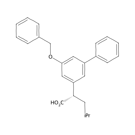 CC(C)C[C@H](C(=O)O)c1cc(OCc2ccccc2)cc(-c2ccccc2)c1